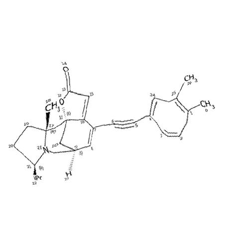 Cc1ccc(C#CC2=C[C@@H]3C[C@@]4(OC(=O)C=C24)[C@@]2(C)CC[C@H](C(C)C)N32)cc1C